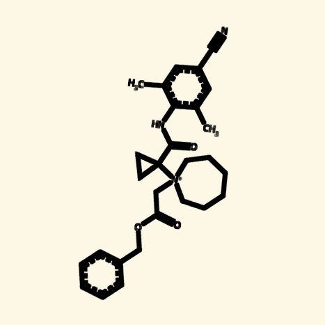 Cc1cc(C#N)cc(C)c1NC(=O)C1([N+]2(CC(=O)OCc3ccccc3)CCCCCC2)CC1